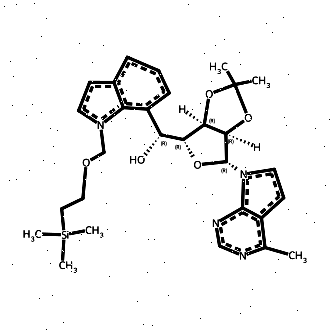 Cc1ncnc2c1ccn2[C@@H]1O[C@H]([C@H](O)c2cccc3ccn(COCC[Si](C)(C)C)c23)[C@H]2OC(C)(C)O[C@H]21